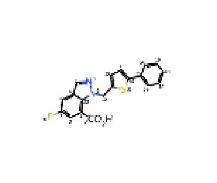 O=C(O)c1cc(F)cc2cnn(Cc3ccc(-c4ccccc4)s3)c12